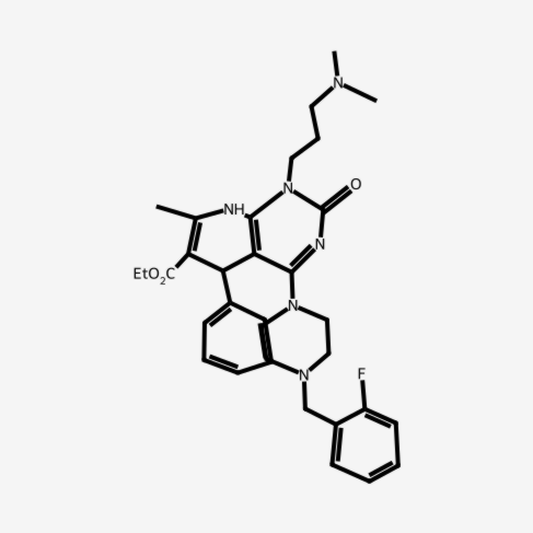 CCOC(=O)C1=C(C)Nc2c(c(N3CCN(Cc4ccccc4F)CC3)nc(=O)n2CCCN(C)C)C1c1ccccc1